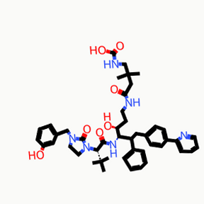 CC(C)(CNC(=O)O)CC(=O)NCC[C@H](O)[C@@H](NC(=O)[C@@H](N1CCN(Cc2cccc(O)c2)C1=O)C(C)(C)C)C(Cc1ccc(-c2ccccn2)cc1)c1ccccc1